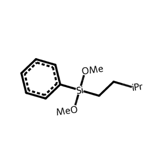 CO[Si](CCC(C)C)(OC)c1ccccc1